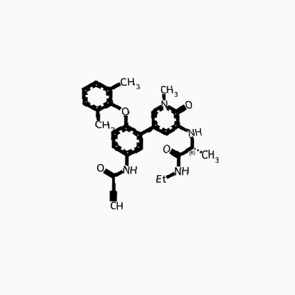 C#CC(=O)Nc1ccc(Oc2c(C)cccc2C)c(-c2cc(N[C@H](C)C(=O)NCC)c(=O)n(C)c2)c1